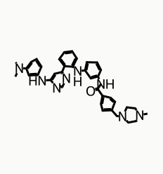 CN1CCN(Cc2ccc(C(=O)Nc3cccc(Nc4ccccc4-c4cc(Nc5cccc(N(C)C)c5)ncn4)c3)cc2)CC1